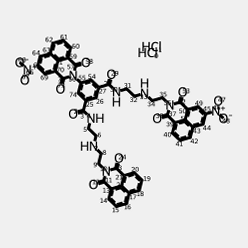 Cl.Cl.O=C(NCCNCCN1C(=O)c2cccc3cccc(c23)C1=O)c1cc(C(=O)NCCNCCN2C(=O)c3cccc4cc([N+](=O)[O-])cc(c34)C2=O)cc(N2C(=O)c3cccc4cc([N+](=O)[O-])cc(c34)C2=O)c1